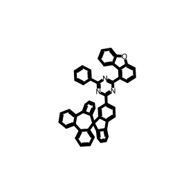 c1ccc(-c2nc(-c3ccc4c(c3)C3(c5ccccc5-c5ccccc5-c5ccccc53)c3ccccc3-4)nc(-c3cccc4oc5ccccc5c34)n2)cc1